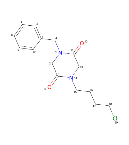 O=C1CN(Cc2ccccc2)C(=O)CN1CCCCCl